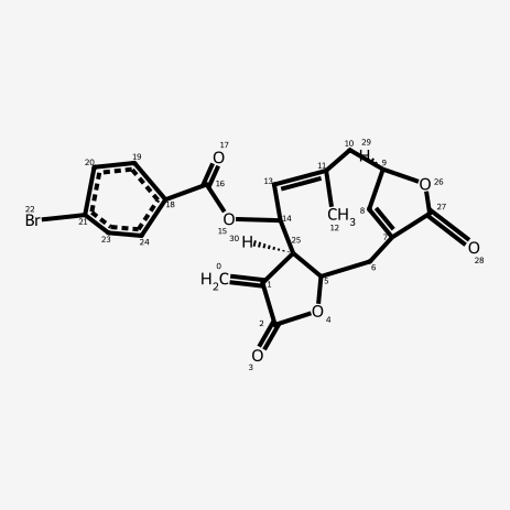 C=C1C(=O)OC2CC3=C[C@@H](C/C(C)=C/C(OC(=O)c4ccc(Br)cc4)[C@H]12)OC3=O